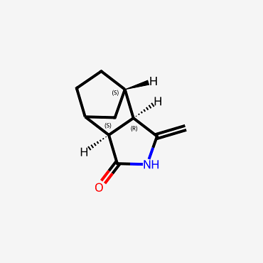 C=C1NC(=O)[C@H]2C3CC[C@@H](C3)[C@@H]12